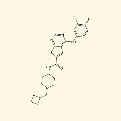 O=C(NC1CCN(CC2CCC2)CC1)c1cc2c(Nc3ccc(F)c(Cl)c3)ncnc2s1